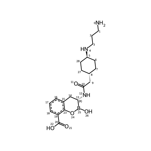 NCCCN[C@H]1CC[C@H](CC(=O)N[C@H]2Cc3cccc(C(=O)O)c3OB2O)CC1